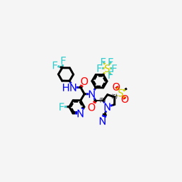 CS(=O)(=O)[C@H]1C[C@H](C(=O)N(c2ccc(S(F)(F)(F)(F)F)cc2)C(C(=O)NC2CCC(F)(F)CC2)c2cncc(F)c2)N(C#N)C1